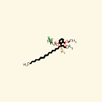 CCCCCCCCCCCCCCCCCC([SH2+])(CCC)c1c(OC)cccc1C(=O)OCC.F[B-](F)(F)F